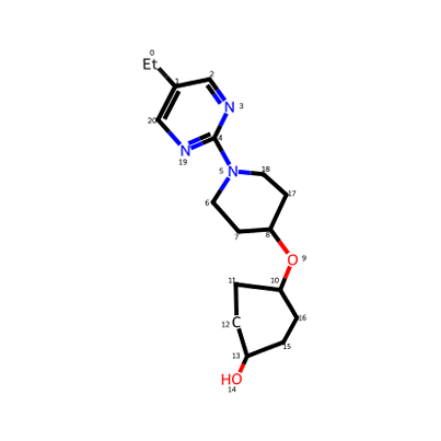 CCc1cnc(N2CCC(OC3CCC(O)CC3)CC2)nc1